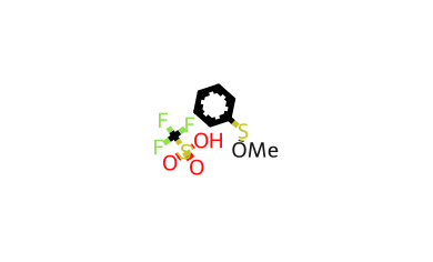 COSc1ccccc1.O=S(=O)(O)C(F)(F)F